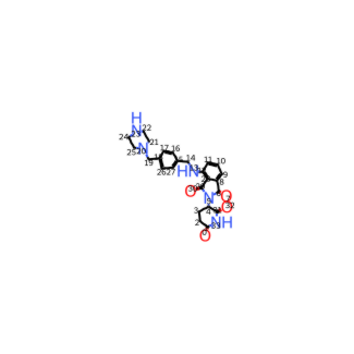 O=C1CCC(N2C(=O)c3cccc(NCc4ccc(CN5CCNCC5)cc4)c3C2=O)C(=O)N1